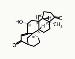 C[C@]12CC[C@H]3[C@@H](C[C@@H](O)C4=CC(=O)C5CCC[C@]43C5)[C@@H]1CCC2=O